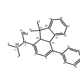 C[SH](C)N(C1=CC=C(c2ccccc2)C2c3ccccc3C(C)(C)C12)C(C)(C)C